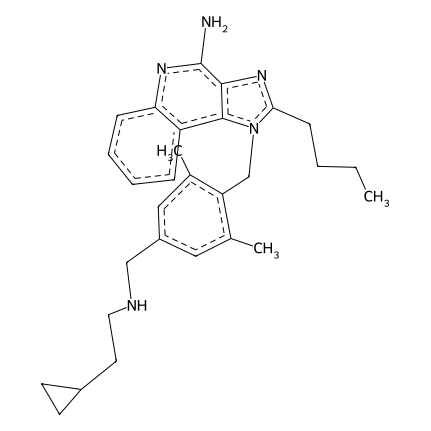 CCCCc1nc2c(N)nc3ccccc3c2n1Cc1c(C)cc(CNCCC2CC2)cc1C